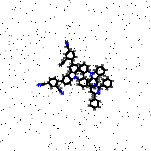 N#Cc1ccc(-c2ccc3c(c2)c2cc(-c4ccc(C#N)cc4C#N)ccc2n3-c2ccc(-c3cc(-c4ccccc4)nc(-c4ccccc4)n3)cc2-c2ccccc2-n2c3ccccc3c3ccccc32)c(C#N)c1